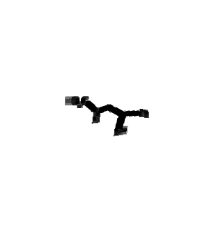 CCC(=N)CNC(=O)O